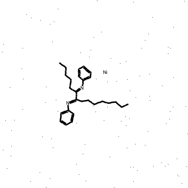 CCCCCCCCC(=N\c1ccccc1)/C(CCCCC)=N/c1ccccc1.[Ni]